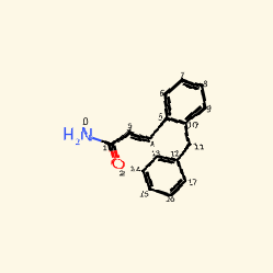 NC(=O)/C=C/c1ccccc1Cc1ccccc1